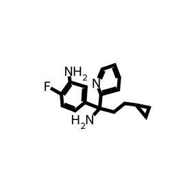 Nc1cc(C(N)(CCC2CC2)c2ccccn2)ccc1F